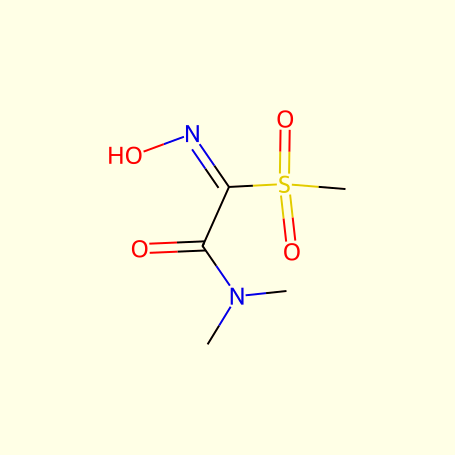 CN(C)C(=O)/C(=N\O)S(C)(=O)=O